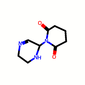 O=C1CCCC(=O)N1C1[C]=NCCN1